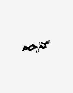 N#Cc1ccc(NC2CC3(CC3)C2)nc1